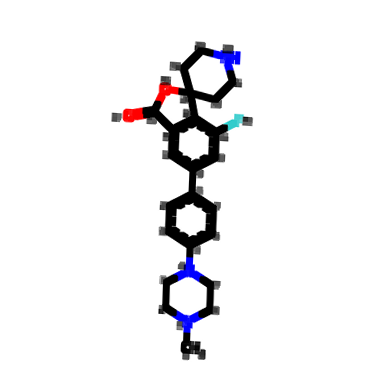 CN1CCN(c2ccc(-c3cc(F)c4c(c3)C(=O)OC43CCNCC3)cc2)CC1